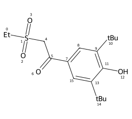 CCS(=O)(=O)CC(=O)c1cc(C(C)(C)C)c(O)c(C(C)(C)C)c1